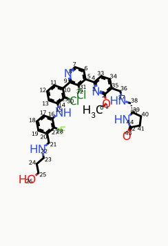 COc1nc(-c2ccnc(-c3cccc(Nc4cccc(CNCCCO)c4F)c3Cl)c2Cl)ccc1CNC[C@@H]1CCC(=O)N1